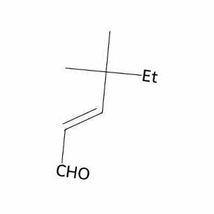 CCC(C)(C)C=CC=O